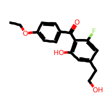 CCOc1ccc(C(=O)c2c(O)cc(CCO)cc2F)cc1